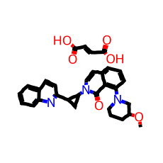 COC1CCCN(c2cccc3ccn(C4CC4c4ccc5ccccc5n4)c(=O)c23)C1.O=C(O)/C=C/C(=O)O